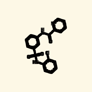 O=C(Nc1cccc(S(=O)(=O)Nc2ccccc2Cl)c1)c1ccccn1